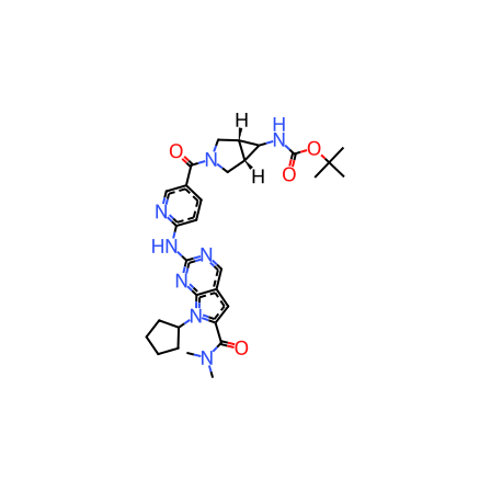 CN(C)C(=O)c1cc2cnc(Nc3ccc(C(=O)N4C[C@@H]5C(NC(=O)OC(C)(C)C)[C@@H]5C4)cn3)nc2n1C1CCCC1